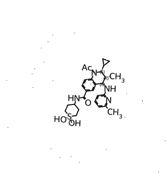 CC(=O)N1c2ccc(C(=O)NC3CCS(O)(O)CC3)cc2[C@H](Nc2cccc(C)n2)[C@@H](C)[C@@H]1C1CC1